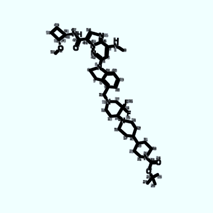 CNc1cc(N2CCc3c(CN4CCC(N5CCC(C6CCN(C(=O)OC(C)(C)C)CC6)CC5)C(F)(F)C4)cccc32)nn2c(C(=O)N[C@@H]3CC[C@H]3OC)cnc12